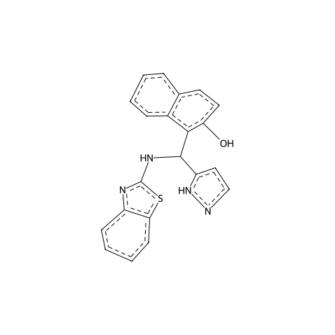 Oc1ccc2ccccc2c1C(Nc1nc2ccccc2s1)c1ccn[nH]1